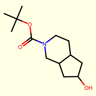 CC(C)(C)OC(=O)N1CCC2CC(O)CC2C1